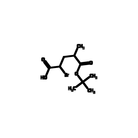 CC(CC(Br)C(=O)O)C(=O)OC(C)(C)C